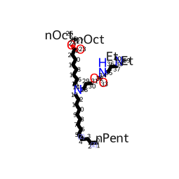 CCCCC/C=C\C/C=C\CCCCCCCCN(CCCCCCCC(=O)OC(CCCCCCCC)CCCCCCCC)CCCOC(=O)NCCCN(CC)CC